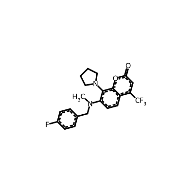 CN(Cc1ccc(F)cc1)c1ccc2c(C(F)(F)F)cc(=O)oc2c1N1CCCC1